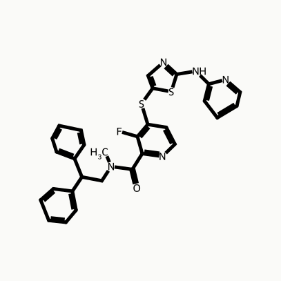 CN(CC(c1ccccc1)c1ccccc1)C(=O)c1nccc(Sc2cnc(Nc3ccccn3)s2)c1F